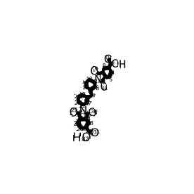 O=C(O)c1ccc2c(c1)C(=O)N(c1cccc(Cc3cccc(N4C(=O)c5ccc(C(=O)O)cc5C4=O)c3)c1)C2=O